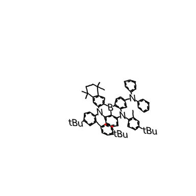 Cc1cc(C(C)(C)C)ccc1N1c2cc(N(c3ccccc3)c3ccccc3)ccc2B2c3cc4c(cc3N(c3ccc(C(C)(C)C)cc3-c3ccccc3)c3cc(C(C)(C)C)cc1c32)C(C)(C)CCC4(C)C